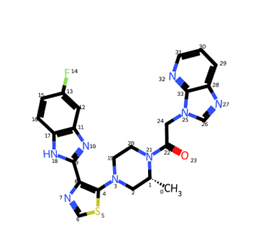 C[C@@H]1CN(c2scnc2-c2nc3cc(F)ccc3[nH]2)CCN1C(=O)Cn1cnc2cccnc21